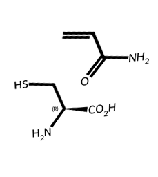 C=CC(N)=O.N[C@@H](CS)C(=O)O